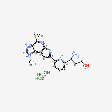 CNc1nc2[nH]c(-c3cccc([C@@H](N)CCO)n3)cc2c2c1ncn2C.Cl.Cl.Cl